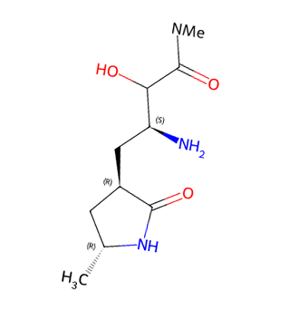 CNC(=O)C(O)[C@@H](N)C[C@@H]1C[C@@H](C)NC1=O